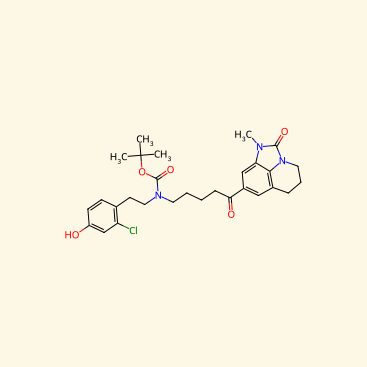 Cn1c(=O)n2c3c(cc(C(=O)CCCCN(CCc4ccc(O)cc4Cl)C(=O)OC(C)(C)C)cc31)CCC2